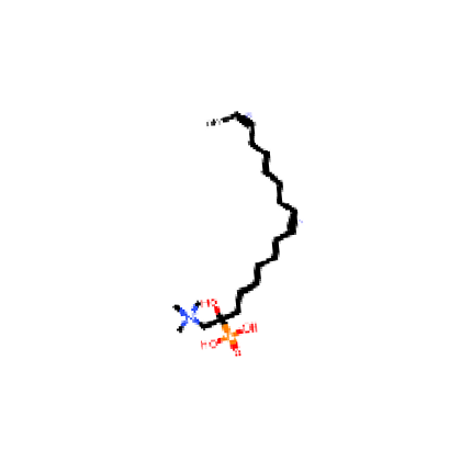 CCC/C=C\CCCCC/C=C\CCCCCCC(O)(C[N+](C)(C)C)P(=O)(O)O